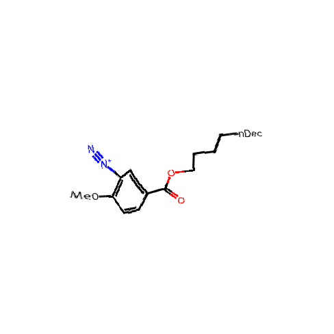 CCCCCCCCCCCCCCOC(=O)c1ccc(OC)c([N+]#N)c1